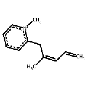 C=C/C=C(/C)Cc1cccc[n+]1C